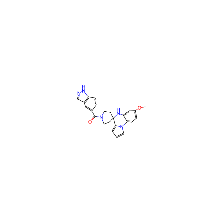 COc1ccc2c(c1)NC1(CCN(C(=O)c3ccc4[nH]ncc4c3)CC1)c1cccn1-2